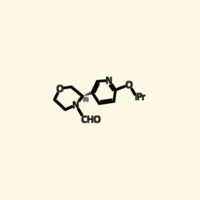 CC(C)Oc1ccc([C@H]2COCCN2C=O)cn1